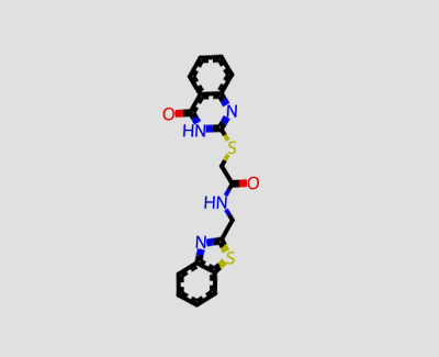 O=C(CSc1nc2ccccc2c(=O)[nH]1)NCc1nc2ccccc2s1